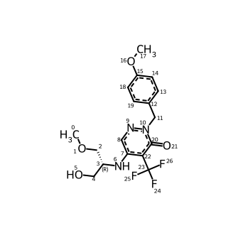 COC[C@@H](CO)Nc1cnn(Cc2ccc(OC)cc2)c(=O)c1C(F)(F)F